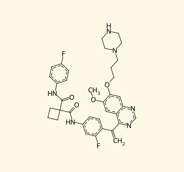 C=C(c1ccc(NC(=O)C2(C(=O)Nc3ccc(F)cc3)CCC2)cc1F)c1ncnc2cc(OCCCN3CCNCC3)c(OC)cc12